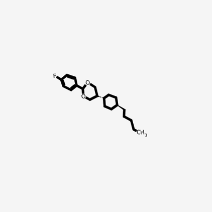 CCCCC[C@H]1CC[C@H](C2COC(c3ccc(F)cc3)OC2)CC1